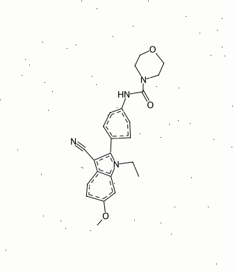 CCn1c(-c2ccc(NC(=O)N3CCOCC3)cc2)c(C#N)c2ccc(OC)cc21